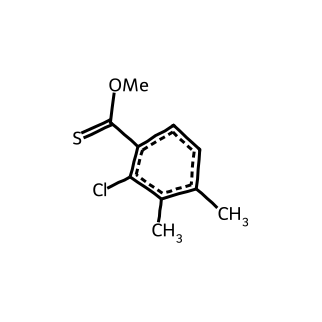 COC(=S)c1ccc(C)c(C)c1Cl